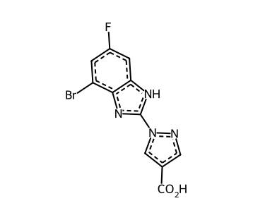 O=C(O)c1cnn(-c2nc3c(Br)cc(F)cc3[nH]2)c1